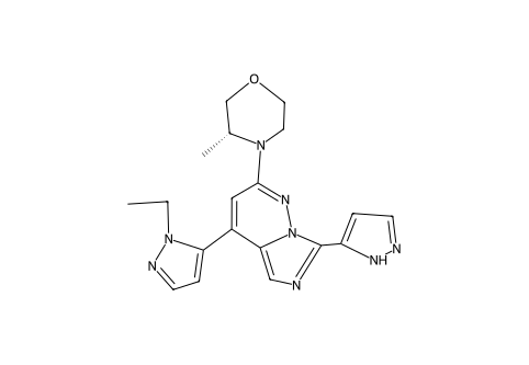 CCn1nccc1-c1cc(N2CCOC[C@H]2C)nn2c(-c3ccn[nH]3)ncc12